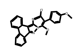 COc1ccc(-c2c(Cl)nc3c4c5ccccc5c5ccccc5c4nn3c2OC)cc1